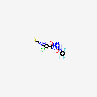 O=C(Nc1nc(=O)c(-c2ccc(CNCCCS)c(Cl)c2)c[nH]1)Nc1cc(F)c(F)cc1F